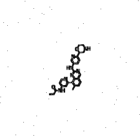 C=CC(=O)Nc1ccnc(-c2c(C)ccc3cnc(Nc4ccc(C5CNCCO5)nc4)nc23)c1